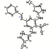 Cc1cc(Nc2nc(/C=C/c3ccccc3)nc(Nc3cc(C)n[nH]3)c2[N+](=O)[O-])[nH]n1